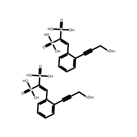 CCCCCCCCCCCC#Cc1ccccc1C=C(P(=O)(O)O)P(=O)(O)O.CCCCCCCCCCCC#Cc1ccccc1C=C(P(=O)(O)O)P(=O)(O)O